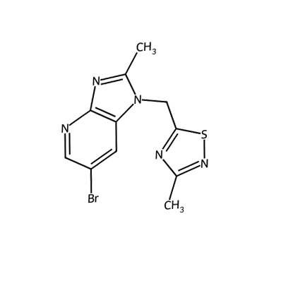 Cc1nsc(Cn2c(C)nc3ncc(Br)cc32)n1